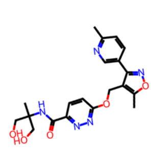 Cc1ccc(-c2noc(C)c2COc2ccc(C(=O)NC(C)(CO)CO)nn2)cn1